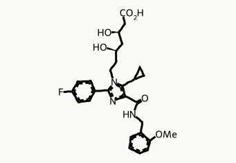 COc1ccccc1CNC(=O)c1nc(-c2ccc(F)cc2)n(CC[C@@H](O)C[C@@H](O)CC(=O)O)c1C1CC1